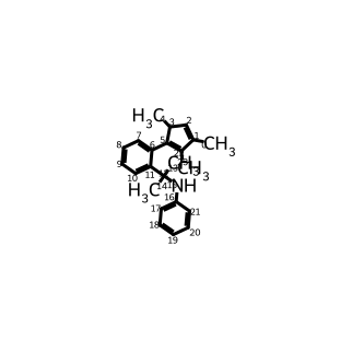 CC1=CC(C)C(c2ccccc2C(C)(C)Nc2ccccc2)=C1C